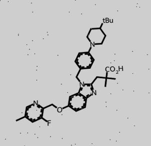 Cc1cnc(COc2ccc3nc(CC(C)(C)C(=O)O)n(Cc4ccc(N5CCC(C(C)(C)C)CC5)cc4)c3c2)c(F)c1